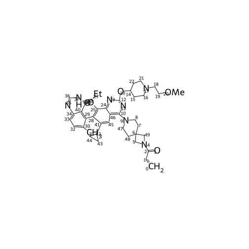 C=CC(=O)N1CC2(CCN(c3nc(OC4CCN(CCOC)CC4)nc4c(OCC)c(-c5c(C)ccc6nc[nH]c(=O)c56)c(C5CC5)cc34)CC2)C1